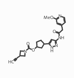 C#CC1CN(C(=O)OC2CCC(c3cc(NC(=O)Cc4ccnc(OC)c4)n[nH]3)C2)C1